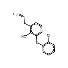 C=CCc1cccc(Sc2ccccc2Cl)c1O